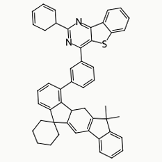 CC1(C)C2=C(C=C3C(C2)c2c(-c4cccc(-c5nc(C6C=CC=CC6)nc6c5sc5ccccc56)c4)cccc2C32CCCCC2)c2ccccc21